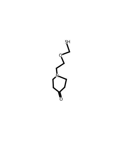 O=C1CCN(CCOCS)CC1